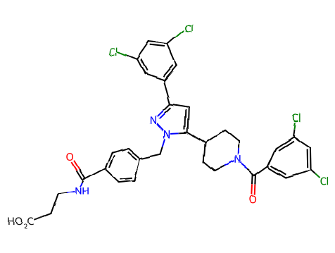 O=C(O)CCNC(=O)c1ccc(Cn2nc(-c3cc(Cl)cc(Cl)c3)cc2C2CCN(C(=O)c3cc(Cl)cc(Cl)c3)CC2)cc1